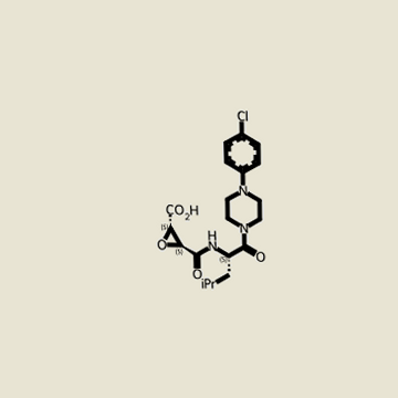 CC(C)C[C@H](NC(=O)[C@H]1O[C@@H]1C(=O)O)C(=O)N1CCN(c2ccc(Cl)cc2)CC1